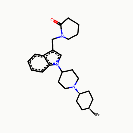 CC(C)[C@H]1CC[C@@H](N2CCC(n3cc(CN4CCCCC4=O)c4ccccc43)CC2)CC1